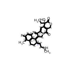 CC[C@@]1(O)C(=O)OCc2c1cc1n(c2=O)Cc2c-1nc1cc(F)c(C)c3c1c2/C(=C/CNC)CC3